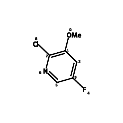 COc1cc(F)cnc1Cl